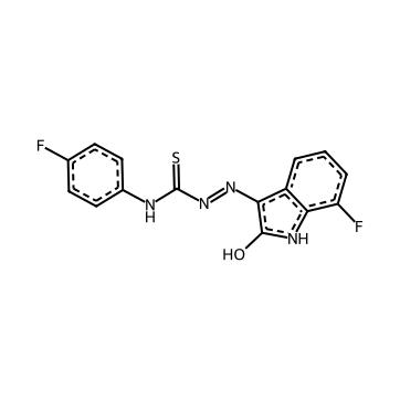 Oc1[nH]c2c(F)cccc2c1N=NC(=S)Nc1ccc(F)cc1